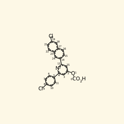 O=C(O)Oc1cc(-c2ccc(Cl)cc2)nc(-c2ccc3cc(Cl)ccc3c2)c1